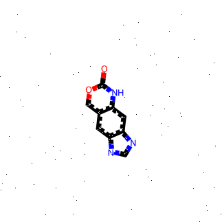 O=c1[nH]c2cc3ncnc3cc2co1